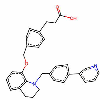 O=C(O)CCc1ccc(COc2cccc3c2N(Cc2ccc(-c4cccnc4)cc2)CCC3)cc1